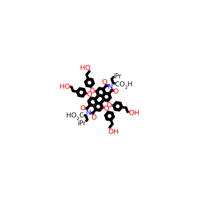 CC(C)CC(C(=O)O)N1C(=O)c2cc(Oc3ccc(CCO)cc3)c3c4c(Oc5ccc(CCO)cc5)cc5c6c(cc(Oc7ccc(CCO)cc7)c(c7c(Oc8ccc(CCO)cc8)cc(c2c37)C1=O)c64)C(=O)N(C(CC(C)C)C(=O)O)C5=O